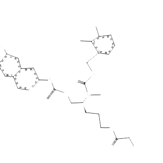 CN(C(=O)NCc1cccc(F)c1Cl)[C@@H](CCCNC(=O)CO)COC(=O)Nc1cc2cc(F)ccc2cn1